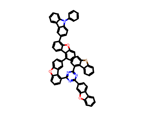 c1ccc(-n2c3ccccc3c3cc(-c4cccc5c4oc4cccc(-c6ccc7oc8cccc(-c9nc(-c%10ccc%11c(c%10)oc%10ccccc%10%11)nc(-c%10cccc%11sc%12ccccc%12c%10%11)n9)c8c7c6)c45)ccc32)cc1